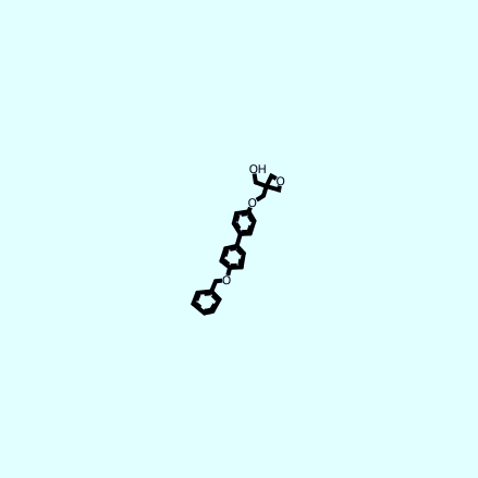 OCC1(COc2ccc(-c3ccc(OCc4ccccc4)cc3)cc2)COC1